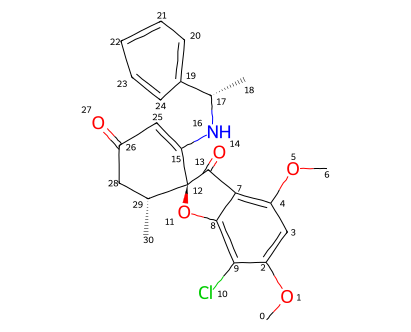 COc1cc(OC)c2c(c1Cl)O[C@]1(C2=O)C(N[C@@H](C)c2ccccc2)=CC(=O)C[C@H]1C